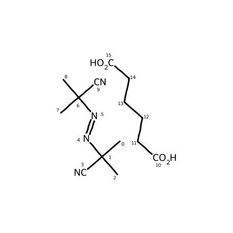 CC(C)(C#N)N=NC(C)(C)C#N.O=C(O)CCCCC(=O)O